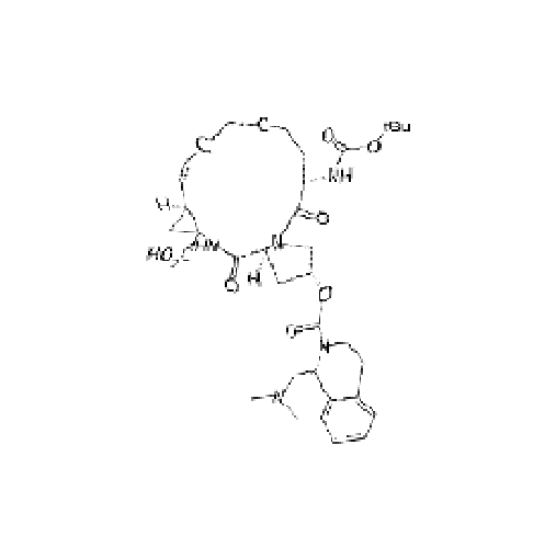 CN(C)CC1c2ccccc2CCN1C(=O)O[C@@H]1C[C@H]2C(=O)N[C@]3(C(=O)O)C[C@H]3C=CCCCCC[C@H](NC(=O)OC(C)(C)C)C(=O)N2C1